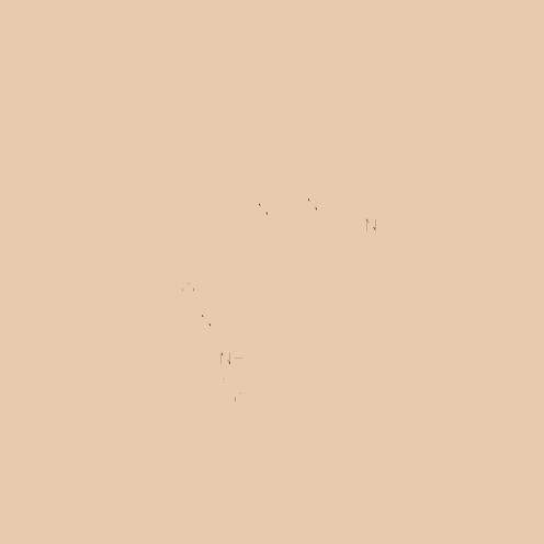 O=C1CCc2ccc(OCCCCN3CCCN(c4cncc5ccccc45)CC3)nc2N1